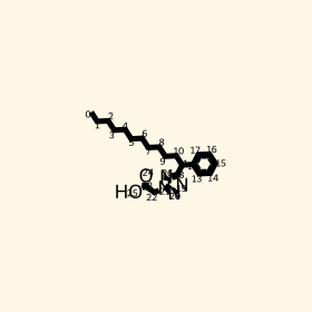 CCCCCCCCCCCC(c1ccccc1)c1nnn(CC(=O)O)n1